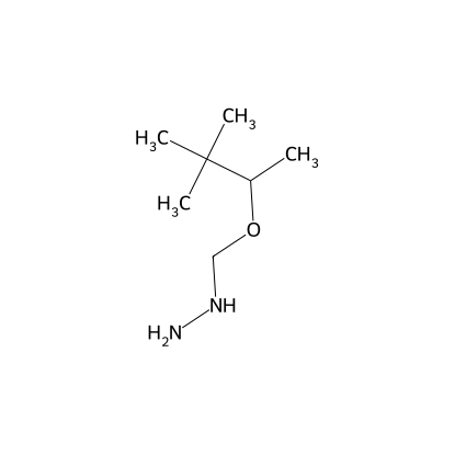 CC(OCNN)C(C)(C)C